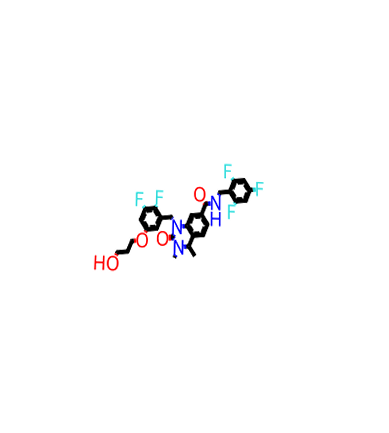 CC1c2ccc(C(=O)NCc3c(F)cc(F)cc3F)cc2N(Cc2cc(OCCCO)cc(F)c2F)C(=O)N1C